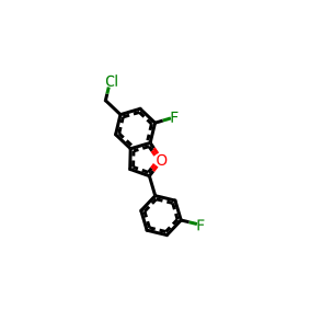 Fc1cccc(-c2cc3cc(CCl)cc(F)c3o2)c1